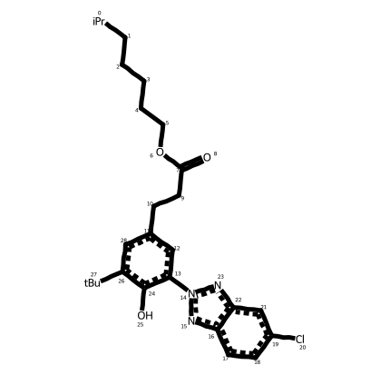 CC(C)CCCCCOC(=O)CCc1cc(-n2nc3ccc(Cl)cc3n2)c(O)c(C(C)(C)C)c1